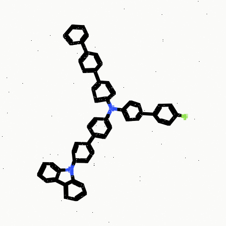 Fc1ccc(-c2ccc(N(c3ccc(-c4ccc(-c5ccccc5)cc4)cc3)c3ccc(-c4ccc(-n5c6ccccc6c6ccccc65)cc4)cc3)cc2)cc1